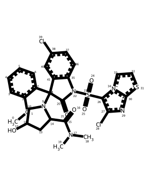 COc1ccccc1C1(N2CC(O)CC2C(=O)N(C)C)C(=O)N(S(=O)(=O)c2c(Cl)nc3sccn23)c2ccc(Cl)cc21